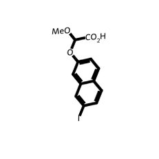 COC(Oc1ccc2ccc(I)cc2c1)C(=O)O